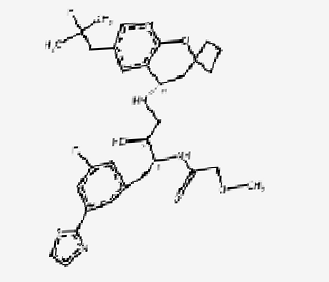 COCC(=O)N[C@@H](Cc1cc(F)cc(-c2nccs2)c1)[C@@H](O)CN[C@H]1CC2(CCC2)Oc2ncc(CC(C)(C)F)cc21